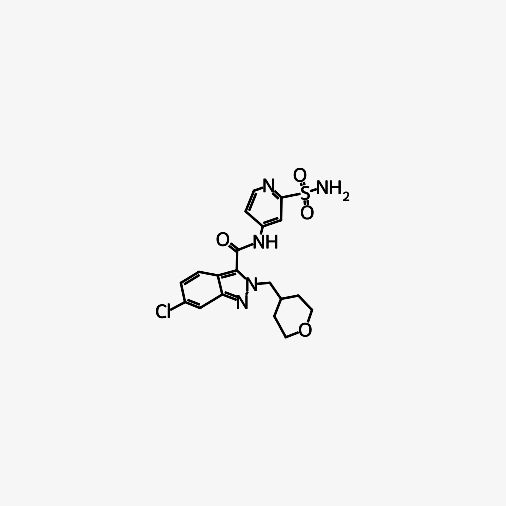 NS(=O)(=O)c1cc(NC(=O)c2c3ccc(Cl)cc3nn2CC2CCOCC2)ccn1